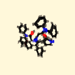 O=C(CN(CC(=O)N(c1ccccc1)c1ccccc1)C(C1CCNC1)C(c1ccccc1)c1ccccc1)N(c1ccccc1)c1ccccc1